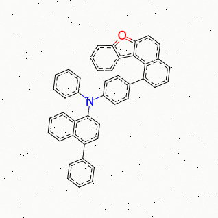 c1ccc(-c2ccc(N(c3ccccc3)c3ccc(-c4cccc5ccc6oc7ccccc7c6c45)cc3)c3ccccc23)cc1